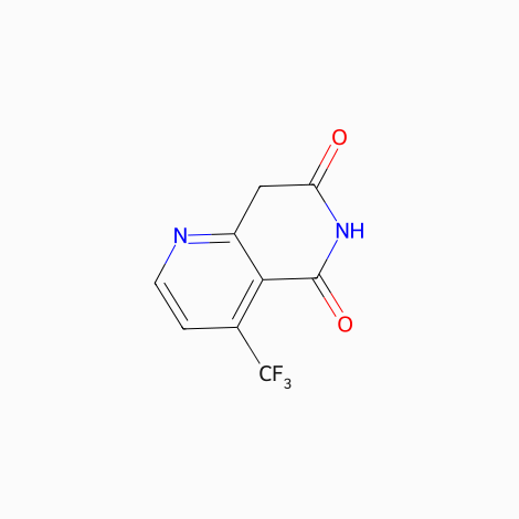 O=C1Cc2nccc(C(F)(F)F)c2C(=O)N1